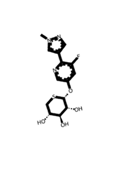 Cn1cc(-c2ncc(O[C@H]3SC[C@@H](O)[C@H](O)[C@H]3O)cc2F)cn1